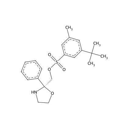 Cc1cc(C(C)(C)C)cc(S(=O)(=O)OC[C@@]2(c3ccccc3)NCCO2)c1